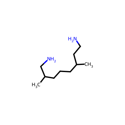 CC(CN)CCCC(C)CCN